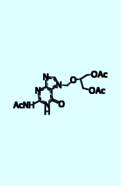 CC(=O)Nc1nc2ncn(COC(COC(C)=O)COC(C)=O)c2c(=O)[nH]1